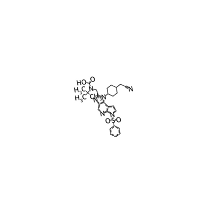 CC(C)(C)N(Cc1nc2cnc3c(ccn3S(=O)(=O)c3ccccc3)c2n1C1CCC(CC#N)CC1)C(=O)O